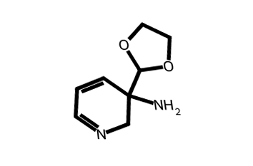 NC1(C2OCCO2)C=CC=NC1